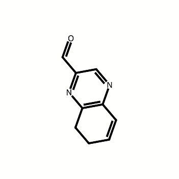 O=Cc1cnc2c(n1)CCC=C2